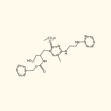 CC(=O)O.Cc1cn(CC(CC(=O)O)NC(=O)OCc2ccccc2)c(=O)nc1NCCNc1ccccn1